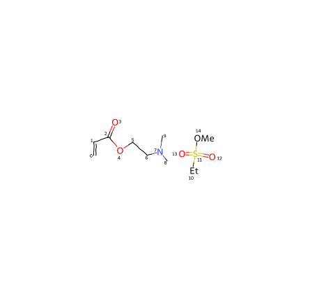 C=CC(=O)OCCN(C)C.CCS(=O)(=O)OC